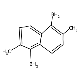 Bc1c(C)ccc2c(B)c(C)ccc12